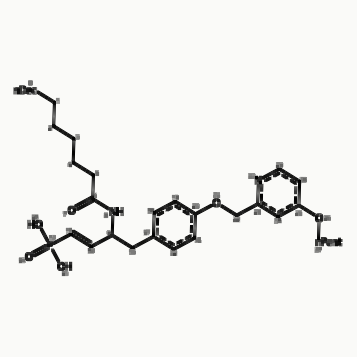 CCCCCCCCCCCCCCCC(=O)NC(/C=C/P(=O)(O)O)Cc1ccc(OCc2cc(OCCCCC)ccn2)cc1